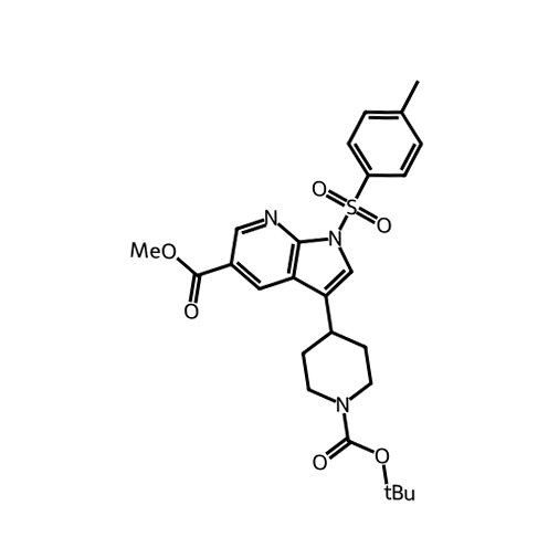 COC(=O)c1cnc2c(c1)c(C1CCN(C(=O)OC(C)(C)C)CC1)cn2S(=O)(=O)c1ccc(C)cc1